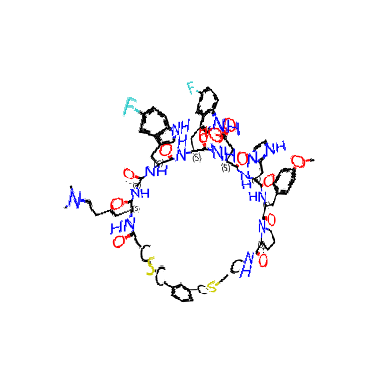 COc1ccc(C[C@@H]2NC(=O)[C@H](Cc3ncc[nH]3)NC(=O)[C@H](CC(=O)O)NC(=O)[C@H](Cc3c[nH]c4ccc(F)cc34)NC(=O)[C@H](Cc3c[nH]c4ccc(F)cc34)NC(=O)[C@@H](C)NC(=O)[C@H](CCCCN(C)C)NC(=O)CCSCc3cccc(c3)CSCCNC(=O)[C@]3(C)CCCN3C2=O)cc1